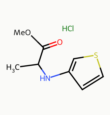 COC(=O)C(C)Nc1ccsc1.Cl